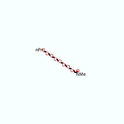 CCCOCCOCCOCCOCCOCCOCCOCCOCCC(=O)NC